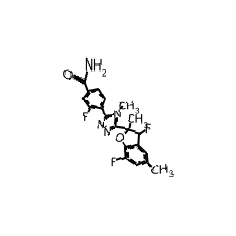 Cc1cc(F)c2c(c1)C(F)C(C)(c1nnc(-c3ccc(C(N)=O)cc3F)n1C)O2